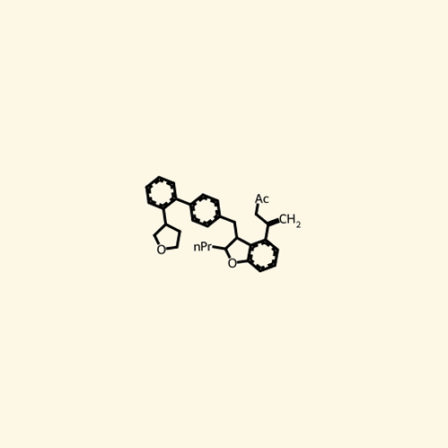 C=C(CC(C)=O)c1cccc2c1C(Cc1ccc(-c3ccccc3C3CCOC3)cc1)C(CCC)O2